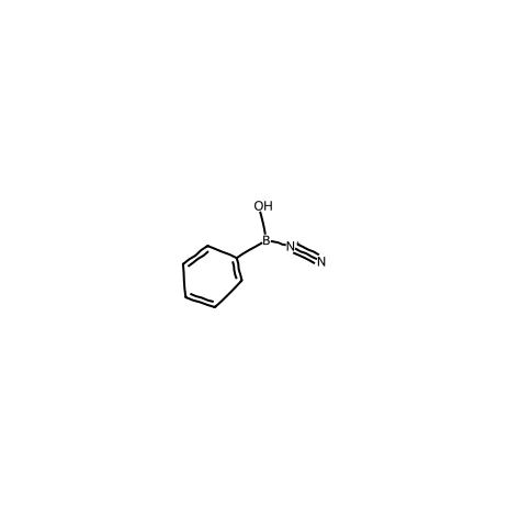 N#[N+]B(O)c1ccccc1